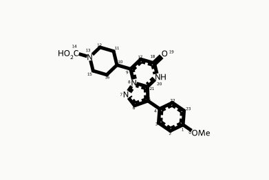 COc1ccc(-c2cnn3c(C4CCN(C(=O)O)CC4)cc(=O)[nH]c23)cc1